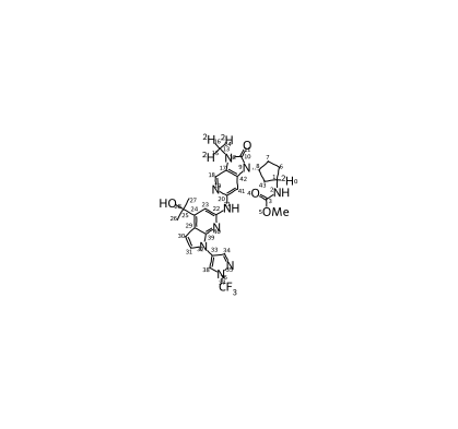 [2H]C1(NC(=O)OC)CC[C@@H](n2c(=O)n(C([2H])([2H])[2H])c3cnc(Nc4cc(C(C)(C)O)c5ccn(-c6cnn(C(F)(F)F)c6)c5n4)cc32)C1